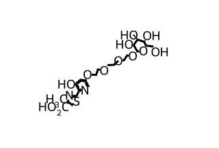 C[C@]1(C(=O)O)CSC(c2ncc(OCCOCCOCCO[C@H]3OC(CO)[C@H](O)[C@H](O)C3O)cc2O)=N1